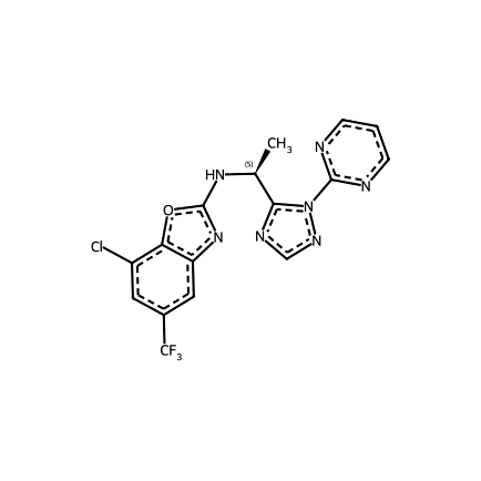 C[C@H](Nc1nc2cc(C(F)(F)F)cc(Cl)c2o1)c1ncnn1-c1ncccn1